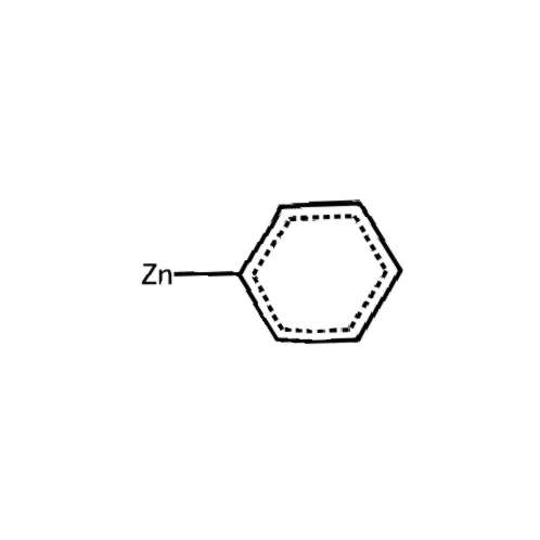 [Zn][c]1ccccc1